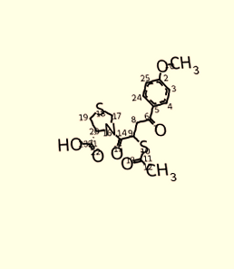 COc1ccc(C(=O)CC(SC(C)=O)C(=O)N2CSC[C@H]2C(=O)O)cc1